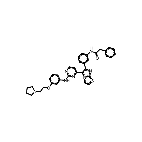 O=C(Cc1ccccc1)Nc1cccc(-c2nc3sccn3c2-c2ccnc(Nc3cccc(OCCN4CCCC4)c3)n2)c1